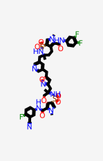 Cn1cc2c(c1C(=O)Nc1ccc(F)c(F)c1)CCC(C)(Cc1cncc(Cc3cc(CC4(C)COc5c(cn(C)c5C(=O)Nc5ccc(F)c(C#N)c5)S(=O)(=O)N4)no3)c1)NS2(=O)=O